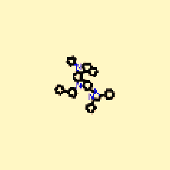 c1ccc(-c2cccc(-n3c4cc(-c5nc(-c6ccccc6)cc(-c6ccccc6)n5)ccc4c4c5c6c7ccccc7ccc6n(-c6ccccc6)c5ccc43)c2)cc1